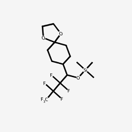 C[Si](C)(C)OC(C1CCC2(CC1)OCCO2)C(F)(F)C(F)(F)C(F)(F)F